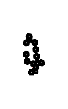 c1ccc(-c2cccc(-c3cccc(N(c4ccc(-c5ccc(-c6cccc(-n7c8ccccc8c8ccccc87)c6)cc5)cc4)c4ccccc4-c4ccc5c(c4)oc4ccccc45)c3)c2)cc1